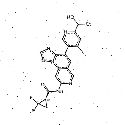 CCC(O)c1cc(C)c(-c2cc3cnc(NC(=O)[C@H]4CC4(F)F)cc3n3ncnc23)cn1